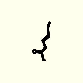 [CH2]C(=O)CC=CCC